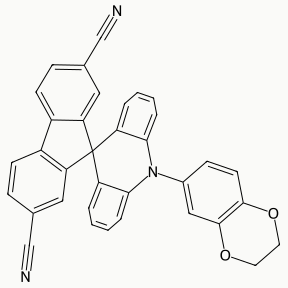 N#Cc1ccc2c(c1)C1(c3cc(C#N)ccc3-2)c2ccccc2N(c2ccc3c(c2)OCCO3)c2ccccc21